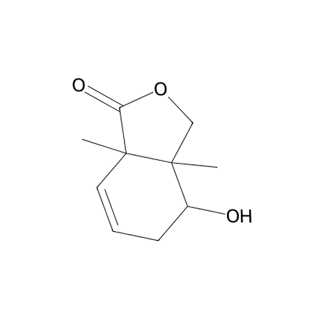 CC12C=CCC(O)C1(C)COC2=O